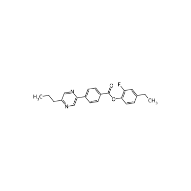 CCCc1cnc(-c2ccc(C(=O)Oc3ccc(CC)cc3F)cc2)cn1